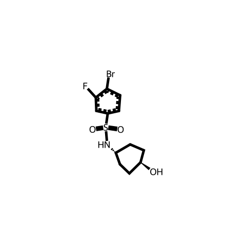 O=S(=O)(N[C@H]1CC[C@H](O)CC1)c1ccc(Br)c(F)c1